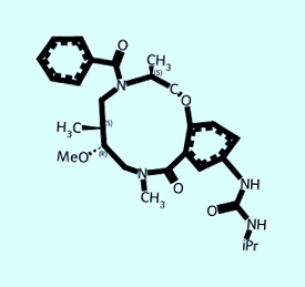 CO[C@H]1CN(C)C(=O)c2cc(NC(=O)NC(C)C)ccc2OC[C@H](C)N(C(=O)c2ccccc2)C[C@@H]1C